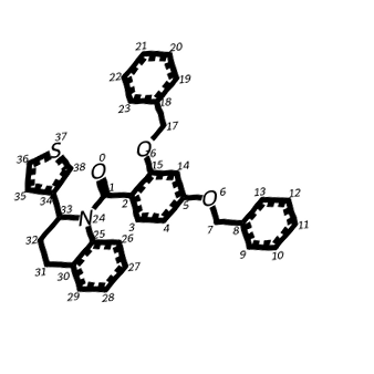 O=C(c1ccc(OCc2ccccc2)cc1OCc1ccccc1)N1c2ccccc2CCC1c1ccsc1